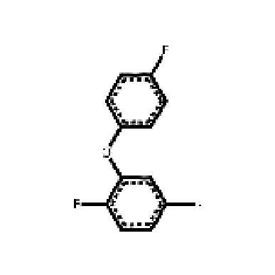 [CH]c1ccc(F)c(Oc2ccc(F)cc2)c1